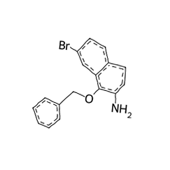 Nc1ccc2ccc(Br)cc2c1OCc1ccccc1